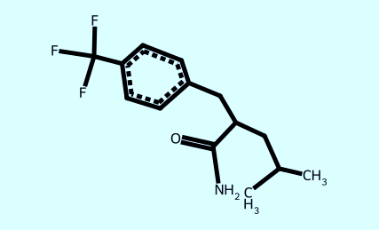 CC(C)CC(Cc1ccc(C(F)(F)F)cc1)C(N)=O